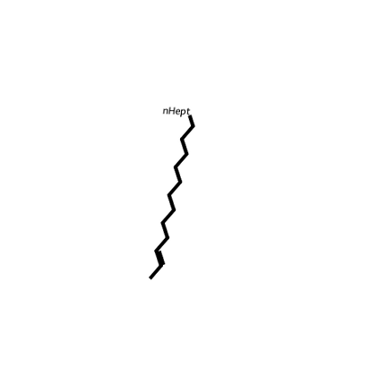 [CH2]CCCCCCCCCCCCCCCC=CC